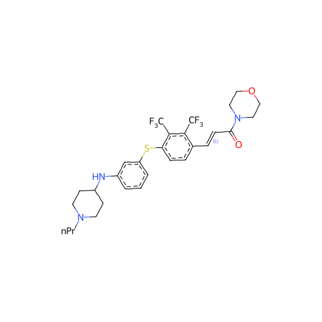 CCCN1CCC(Nc2cccc(Sc3ccc(/C=C/C(=O)N4CCOCC4)c(C(F)(F)F)c3C(F)(F)F)c2)CC1